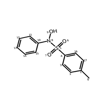 Cc1ccc(S(=O)(=O)N(O)c2ccccc2)cc1